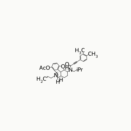 C=CCN1CC[C@@]23c4c5ccc(OC(C)=O)c4C[C@@H]1[C@@H]2CC[C@H](N(CC(C)C)C(=O)C#Cc1ccc(C)c(C)c1)[C@@H]3O5